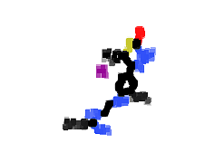 CSC(=N)NCCNc1ccc(C2=NNC(=O)SC2C)cc1[N+](=O)[O-].I